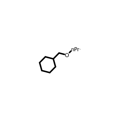 CC[CH]OCC1CCCCC1